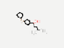 CC(C)CCC(O)c1ccc(Sc2ccccc2)cc1